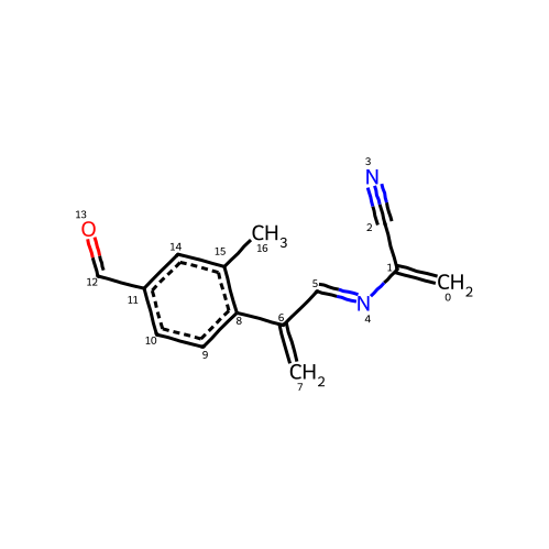 C=C(C#N)/N=C/C(=C)c1ccc(C=O)cc1C